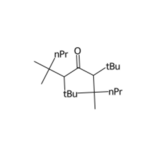 CCCC(C)(C)C(C(=O)C(C(C)(C)C)C(C)(C)CCC)C(C)(C)C